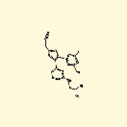 CC(O)CNc1nccc(-c2cn(CC#N)nc2-c2cc(O)cc(Cl)c2)n1